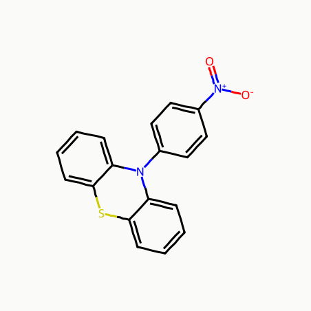 O=[N+]([O-])c1ccc(N2c3ccccc3Sc3ccccc32)cc1